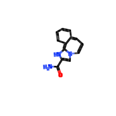 NC(=O)C1=CN2C=CC=c3ccccc3=C2N1